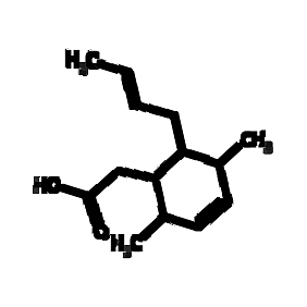 CC=CCC1C(C)C=CC(C)C1CC(=O)O